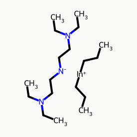 CCN(CC)CC[N-]CCN(CC)CC.CC[CH2][In+][CH2]CC